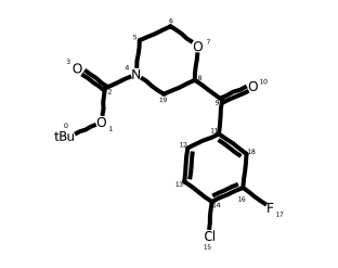 CC(C)(C)OC(=O)N1CCOC(C(=O)c2ccc(Cl)c(F)c2)C1